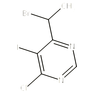 CC(Br)c1ncnc(Cl)c1I